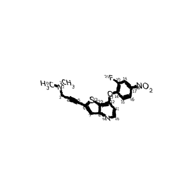 CN(C)CC#Cc1cc2nccc(Oc3ccc([N+](=O)[O-])cc3F)c2s1